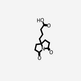 O=C(O)CCCC12CCC(=O)N1C(=O)CC2